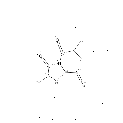 CC(C)C(=O)N1C(=O)N(C)CC1N=N